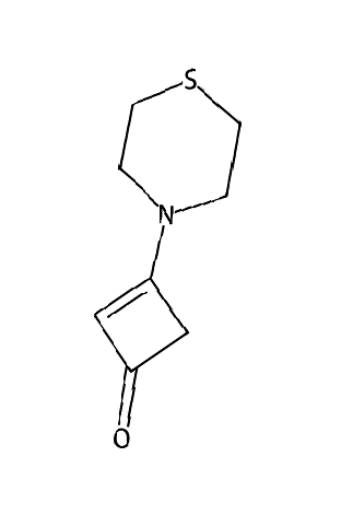 O=C1C=C(N2CCSCC2)C1